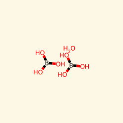 O.OB(O)O.OB(O)O